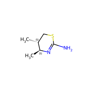 C[C@@H]1CSC(N)=N[C@H]1C